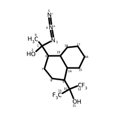 CC(O)(N=[N+]=[N-])C1CCC(C(O)(C(F)(F)F)C(F)(F)F)C2CCCCC21